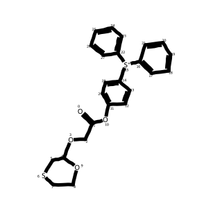 O=C(COC1CSCCO1)Oc1ccc([S+](c2ccccc2)c2ccccc2)cc1